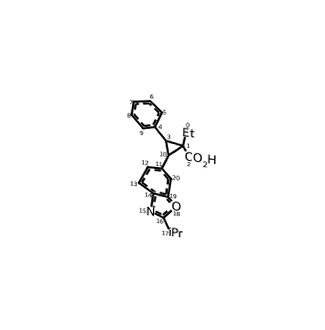 CCC1(C(=O)O)C(c2ccccc2)C1c1ccc2nc(C(C)C)oc2c1